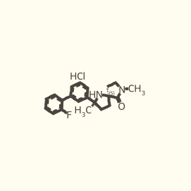 CN1CC[C@@]2(CC[C@](C)(c3cccc(-c4ccccc4F)c3)N2)C1=O.Cl